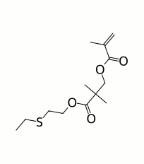 C=C(C)C(=O)OCC(C)(C)C(=O)OCCSCC